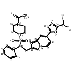 O=C(N1CCN(S(=O)(=O)N(Cc2cn3ccc(-c4nnc(C(F)F)o4)cc3n2)c2ccccc2)CC1)C(F)(F)F